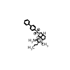 CCC[C@@H](C(N)=O)N(C)[C@H]1CC[C@@H]2CN(S(=O)(=O)c3ccc(-c4ccccc4)cc3)C[C@@H]21